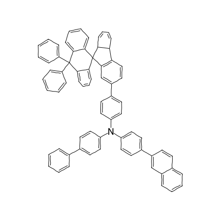 C1=CC2c3ccc(-c4ccc(N(c5ccc(-c6ccccc6)cc5)c5ccc(-c6ccc7ccccc7c6)cc5)cc4)cc3C3(c4ccccc4C(c4ccccc4)(c4ccccc4)c4ccccc43)C2C=C1